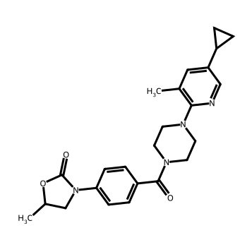 Cc1cc(C2CC2)cnc1N1CCN(C(=O)c2ccc(N3CC(C)OC3=O)cc2)CC1